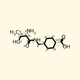 C[C@@H](O)[C@H](N)C(=O)NC[C@H]1CC[C@H](C(=O)O)CC1